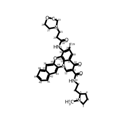 CN1CCCC1CCNC(=O)c1cn2c3c(c(NC(=O)CCN4CCOCC4)c(F)cc3c1=O)Oc1cc3ccccc3cc1-2